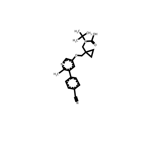 Cc1ncc(OCC2(CN(C(=O)O)C(C)(C)C)CC2)cc1-c1ccc(C#N)cc1